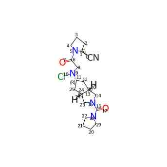 N#C[C@@H]1CCCN1C(=O)CN(Cl)[C@@H]1C[C@@H]2CN(C(=O)N3CCCC3)C[C@@H]2C1